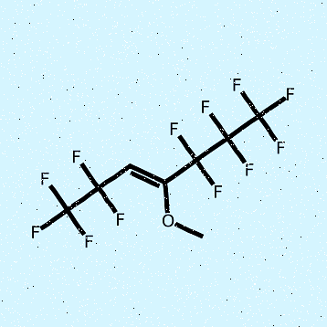 COC(=CC(F)(F)C(F)(F)F)C(F)(F)C(F)(F)C(F)(F)F